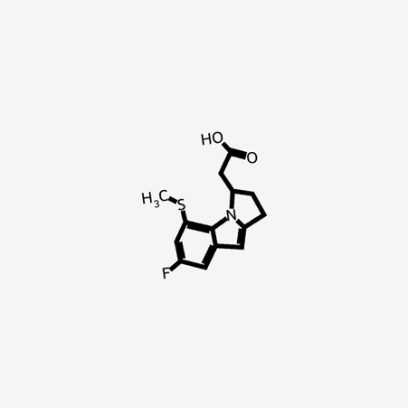 CSc1cc(F)cc2cc3n(c12)C(CC(=O)O)CC3